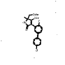 COCC1(C)NC(=O)C(c2cc(-c3ccc(Cl)cc3)ccc2Cl)=C1OC(C)=O